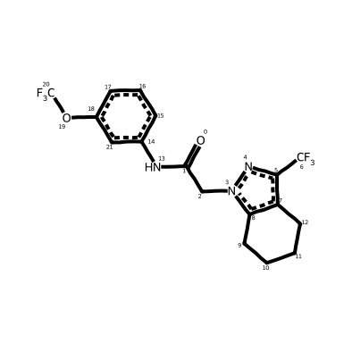 O=C(Cn1nc(C(F)(F)F)c2c1CCCC2)Nc1cccc(OC(F)(F)F)c1